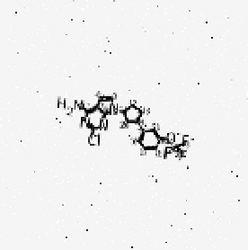 Nc1nc(Cl)nc2c1ccn2[C@@H]1CC[C@@H](c2cccc(OC(F)(F)F)c2)C1